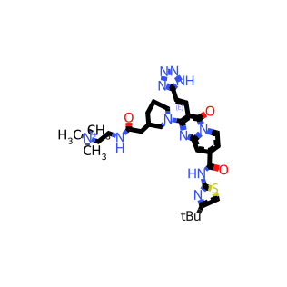 CC(C)(C)c1csc(NC(=O)c2ccn3c(=O)c(/C=C/c4nnn[nH]4)c(N4CCCC(CC(=O)NCC[N+](C)(C)C)C4)nc3c2)n1